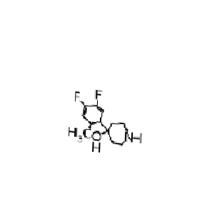 CC1C=C(F)C(F)=CC1C1(O)CCN(I)CC1